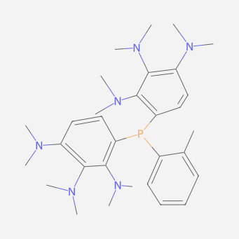 Cc1ccccc1P(c1ccc(N(C)C)c(N(C)C)c1N(C)C)c1ccc(N(C)C)c(N(C)C)c1N(C)C